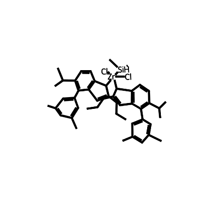 CCCC1=Cc2c(ccc(C(C)C)c2-c2cc(C)cc(C)c2)[CH]1[Zr]([Cl])([Cl])([CH]1C(CCC)=Cc2c1ccc(C(C)C)c2-c1cc(C)cc(C)c1)[SiH](C)C